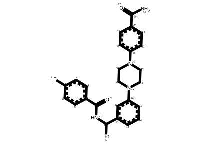 CCC(NC(=O)c1ccc(F)cc1)c1cccc(N2CCN(c3ccc(C(N)=O)cc3)CC2)c1